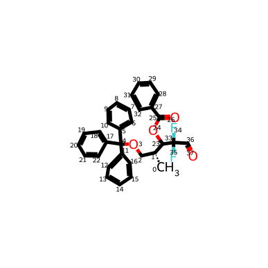 C[C@H](COC(c1ccccc1)(c1ccccc1)c1ccccc1)C(OC(=O)c1ccccc1)C(F)(F)C=O